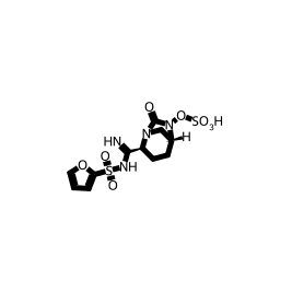 N=C(NS(=O)(=O)c1ccco1)[C@@H]1CC[C@@H]2CN1C(=O)N2OS(=O)(=O)O